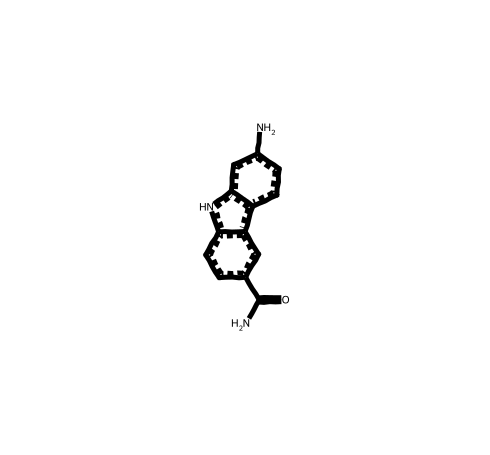 NC(=O)c1ccc2[nH]c3cc(N)ccc3c2c1